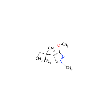 CCC(C)(C)c1cn(C)nc1OC